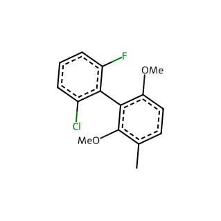 COc1ccc(C)c(OC)c1-c1c(F)cccc1Cl